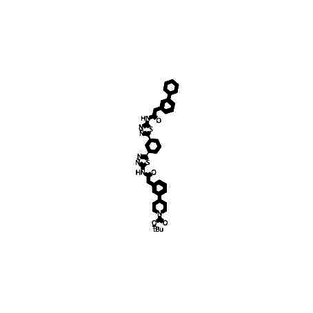 CC(C)(C)OC(=O)N1CCC(c2cccc(CC(=O)Nc3nnc([C@H]4CCC[C@H](c5nnc(NC(=O)Cc6cccc(C7CCCCC7)c6)s5)C4)s3)c2)CC1